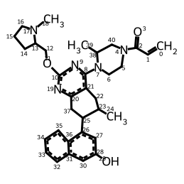 C=CC(=O)N1CCN(c2nc(OCC3CCCN3C)nc3c2CC(C)C(c2cc(O)cc4ccccc24)C3)C(C)C1